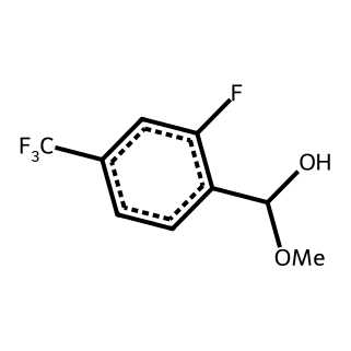 COC(O)c1ccc(C(F)(F)F)cc1F